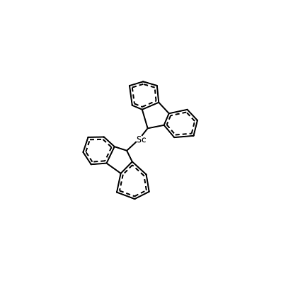 c1ccc2c(c1)-c1ccccc1[CH]2[Sc][CH]1c2ccccc2-c2ccccc21